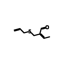 C=CCSCC(C=O)=CC